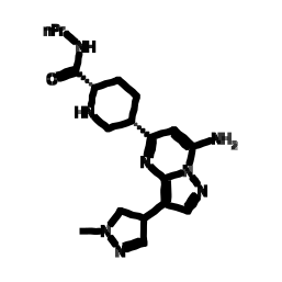 CCCNC(=O)[C@@H]1CC[C@H](c2cc(N)n3ncc(C4C=NN(C)C4)c3n2)CN1